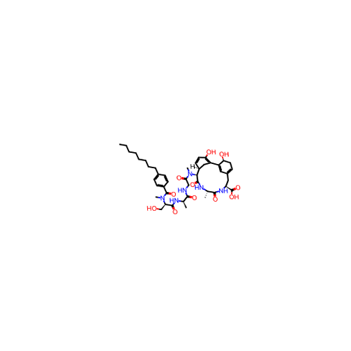 CCCCCCCCc1ccc(C(=O)N(C)[C@H](CO)C(=O)N[C@H](C)C(=O)NCC(=O)N(C)[C@@H]2C(=O)N[C@@H](C)C(=O)N[C@H](C(=O)O)CC3=CC[C@H](O)C(=C3)C3=C(O)C=C[C@H]2C3)cc1